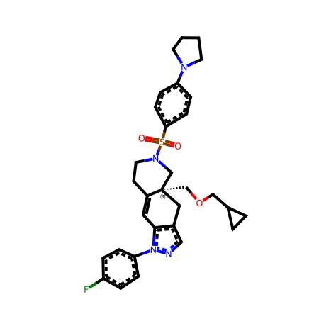 O=S(=O)(c1ccc(N2CCCC2)cc1)N1CCC2=Cc3c(cnn3-c3ccc(F)cc3)C[C@]2(COCC2CC2)C1